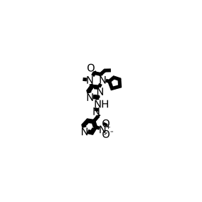 CCC1C(=O)N(C)c2cnc(NN=Cc3ccncc3[N+](=O)[O-])nc2N1C1CCCC1